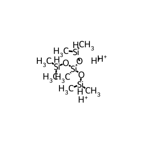 C[SiH](C)O[Si](C)(O[SiH](C)C)O[SiH](C)C.[H+].[H+].[H+]